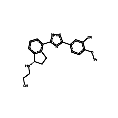 CC(C)Oc1ccc(-c2nc(-c3cccc4c3CC[C@@H]4NCCO)ns2)cc1C#N